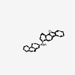 c1ccc2c(c1)ccc1cc(Nc3cccc4c3ccc3c5ccccc5oc43)ccc12